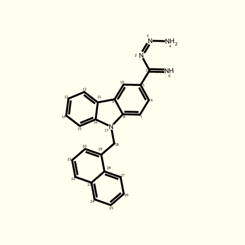 N=C(/N=N\N)c1ccc2c(c1)c1ccccc1n2Cc1cccc2ccccc12